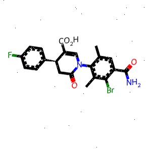 Cc1cc(C(N)=O)c(Br)c(C)c1N1C=C(C(=O)O)[C@H](c2ccc(F)cc2)CC1=O